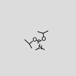 CC(C)OP(OC(C)C)N(C)C